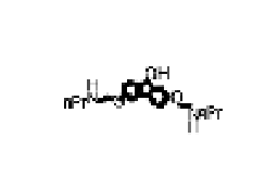 CCCNCCOc1ccc2c(c1)-c1ccc(OCCNCCC)cc1C2O